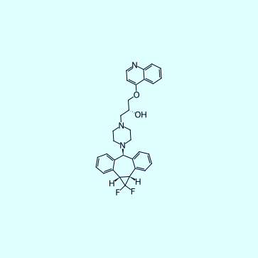 O[C@@H](COc1ccnc2ccccc12)CN1CCN([C@@H]2c3ccccc3[C@@H]3[C@H](c4ccccc42)C3(F)F)CC1